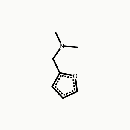 CN(C)Cc1ccco1